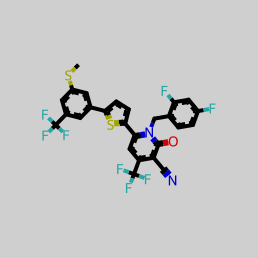 CSc1cc(-c2ccc(-c3cc(C(F)(F)F)c(C#N)c(=O)n3Cc3ccc(F)cc3F)s2)cc(C(F)(F)F)c1